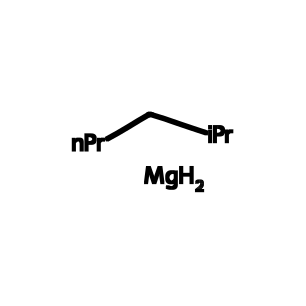 [CH2]CCCC(C)C.[MgH2]